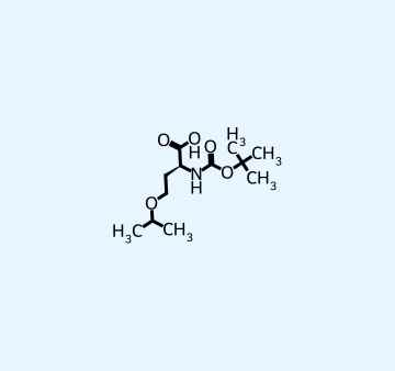 CC(C)OCC[C@H](NC(=O)OC(C)(C)C)C(=O)O